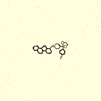 Fc1ccc(C2(C3=CCN(Cc4cccc5c4ccc4c6ccccc6ccc54)CC3)OCCO2)cc1